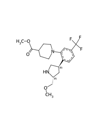 COC[C@H]1C[C@H](c2ccc(C(F)(F)F)cc2N2CCC(C(=O)OC)CC2)CN1